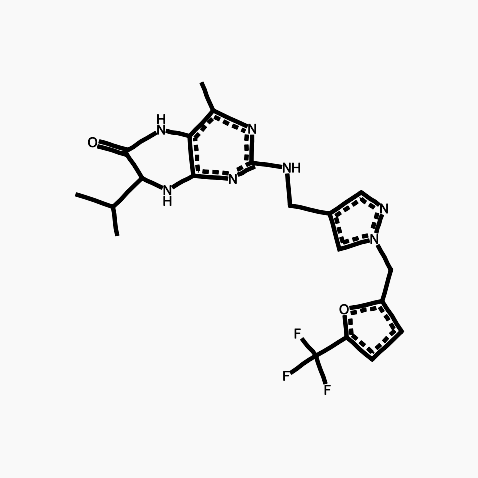 Cc1nc(NCc2cnn(Cc3ccc(C(F)(F)F)o3)c2)nc2c1NC(=O)C(C(C)C)N2